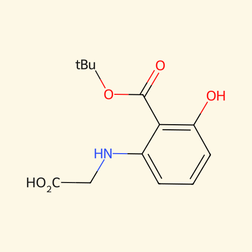 CC(C)(C)OC(=O)c1c(O)cccc1NCC(=O)O